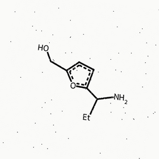 CCC(N)c1ccc(CO)o1